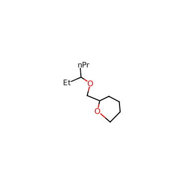 CCCC(CC)OCC1CCCCO1